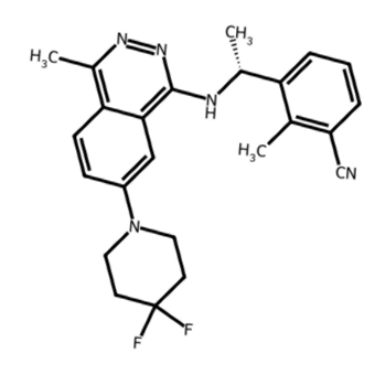 Cc1c(C#N)cccc1[C@@H](C)Nc1nnc(C)c2ccc(N3CCC(F)(F)CC3)cc12